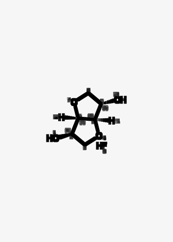 F.O[C@@H]1CO[C@H]2[C@@H]1OC[C@@H]2O